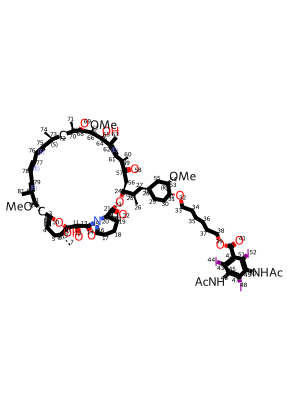 CO[C@H]1C[C@@H]2CC[C@@H](C)[C@@](O)(O2)C(=O)C(=O)N2CCCC[C@H]2C(=O)O[C@H]([C@H](C)C[C@@H]2CC[C@@H](OCCCCCCOC(=O)c3c(I)c(NC(C)=O)c(I)c(NC(C)=O)c3I)[C@H](OC)C2)CC(=O)[C@H](C)/C=C(\C)[C@@H](O)[C@@H](OC)C(=O)[C@H](C)C[C@H](C)/C=C/C=C/C=C/1C